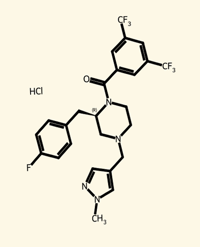 Cl.Cn1cc(CN2CCN(C(=O)c3cc(C(F)(F)F)cc(C(F)(F)F)c3)[C@H](Cc3ccc(F)cc3)C2)cn1